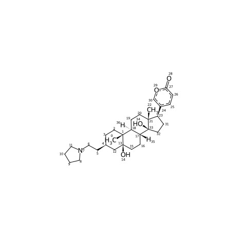 C[C@]12CC[C@H]([CH]CN3CCCC3)C[C@@]1(O)CC[C@@H]1[C@@H]2CC[C@]2(C)[C@@H](c3ccc(=O)oc3)CC[C@]12O